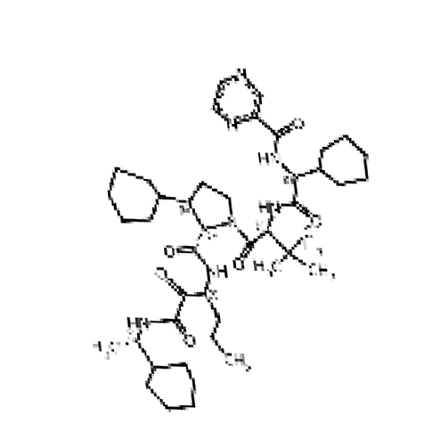 CCC[C@H](NC(=O)[C@@H]1[C@@H](C2CCCCC2)CCN1C(=O)[C@@H](NC(=O)[C@@H](NC(=O)c1cnccn1)C1CCCCC1)C(C)(C)C)C(=O)C(=O)N[C@@H](C)C1CCCCC1